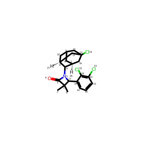 CC1(C)C(=O)N(C2[C@H]3CC4C[C@H]2CC(Cl)(C4)C3)C1c1cccc(Cl)c1Cl